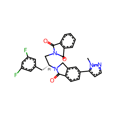 Cn1nccc1-c1ccc2c(c1)CN([C@H](Cc1cc(F)cc(F)c1)CN1C(=O)c3ccccc3C1=O)C2=O